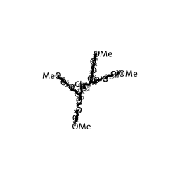 COCCOCCOCCOCC(CC[Si](Cl)(Cl)CCC(COCCOCCOCCOC)OCCOCCOCCOC)OCCOCCOCCOC